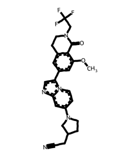 COc1cc(-c2cnc3cc(N4CCC(CC#N)C4)ccn23)cc2c1C(=O)N(CC(F)(F)F)CC2